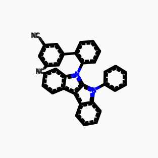 N#Cc1cc(C#N)cc(-c2ccccc2-n2c3ccccc3c3c4ccccc4n(-c4ccccc4)c32)c1